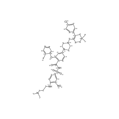 CN(C)CCCNc1ccc(S(=O)(=O)NC(=O)c2ccc(N3CCN(CC4=C(c5ccc(Cl)cc5)CC(C)(C)CC4)CC3)cc2Oc2ccccc2F)cc1[N+](=O)[O-]